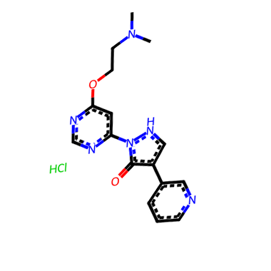 CN(C)CCOc1cc(-n2[nH]cc(-c3cccnc3)c2=O)ncn1.Cl